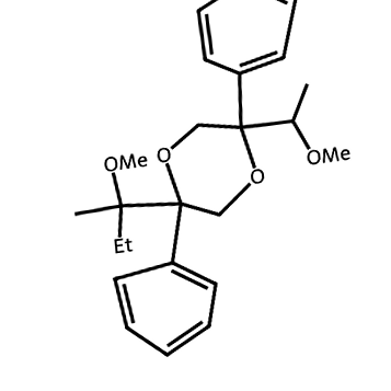 CCC(C)(OC)C1(c2ccccc2)COC(c2ccccc2)(C(C)OC)CO1